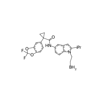 BCCn1c(C(C)C)cc2cc(NC(=O)C3(c4ccc5c(c4)OC(F)(F)O5)CC3)ccc21